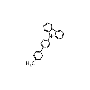 CC1=CC=C(c2ccc(-n3c4ccccc4c4ccccc43)cc2)CC1